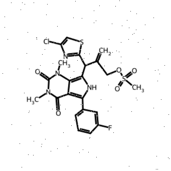 C=C(COS(C)(=O)=O)C(c1nc(Cl)cs1)c1[nH]c(-c2cccc(F)c2)c2c(=O)n(C)c(=O)n(C)c12